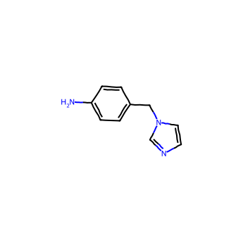 Nc1ccc(Cn2ccnc2)cc1